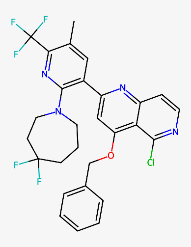 Cc1cc(-c2cc(OCc3ccccc3)c3c(Cl)nccc3n2)c(N2CCCC(F)(F)CC2)nc1C(F)(F)F